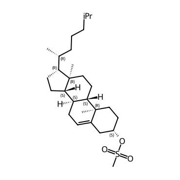 CC(C)CCC[C@@H](C)[C@H]1CC[C@H]2[C@@H]3CC=C4C[C@@H](OS(C)(=O)=O)CC[C@]4(C)[C@H]3CC[C@]12C